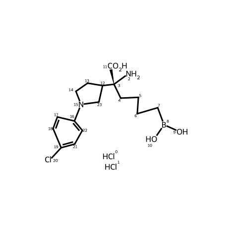 Cl.Cl.N[C@@](CCCCB(O)O)(C(=O)O)C1CCN(c2ccc(Cl)cc2)C1